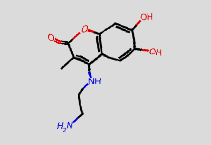 Cc1c(NCCN)c2cc(O)c(O)cc2oc1=O